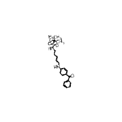 CC(C)(C)S(=O)(=O)NCCCCCNc1ccc(C(=O)c2ccccc2)cc1